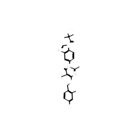 Cc1nc(OCc2ccc(F)cc2F)c(Cl)c(=O)n1-c1ccc2c(c1)ncn2C(=O)C(C)(C)O